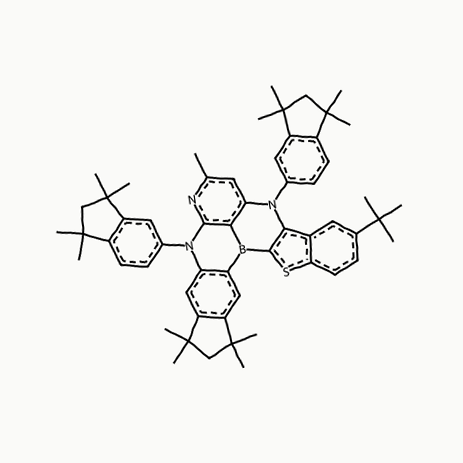 Cc1cc2c3c(n1)N(c1ccc4c(c1)C(C)(C)CC4(C)C)c1cc4c(cc1B3c1sc3ccc(C(C)(C)C)cc3c1N2c1ccc2c(c1)C(C)(C)CC2(C)C)C(C)(C)CC4(C)C